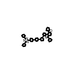 c1ccc(-c2nc(-c3ccccc3)nc(-c3ccc(-c4ccc(-c5cccc(-c6cccc7c6nc(-c6ccccc6)c6ccc8oc9ccccc9c8c67)c5)cc4)cc3)n2)cc1